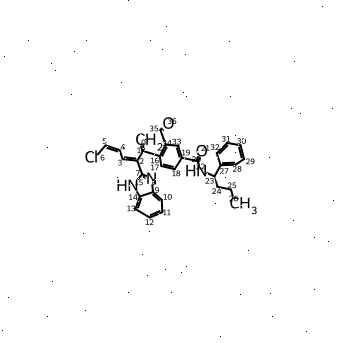 C=C(/C(=C\C=C/Cl)c1nc2ccccc2[nH]1)c1ccc(C(=O)N[C@H](CCC)c2ccccc2)cc1C=O